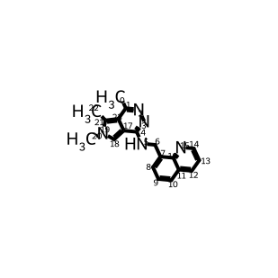 Cc1nnc(NCc2cccc3cccnc23)c2cn(C)c(C)c12